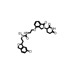 CCN(CCC1OCc2ccc(Cl)cc21)C(=O)NCCOc1cccc2c1CN(C1CCC(=O)NC1=O)C2=O